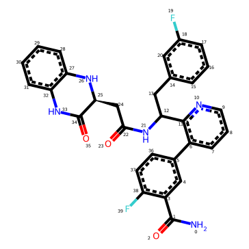 NC(=O)c1cc(-c2cccnc2C(Cc2cccc(F)c2)NC(=O)C[C@@H]2Nc3ccccc3NC2=O)ccc1F